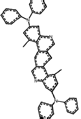 Cc1cc(N(c2ccccc2)c2ccccc2)cc2ncc3cc4c(cnc5cc(N(c6ccccc6)c6ccccc6)cc(C)c54)cc3c12